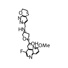 COc1ccc2ncc(F)c(C[C@H](O)[C@@H]3CC[C@@H](NCc4cc5c(nn4)OCCS5)CO3)c2n1